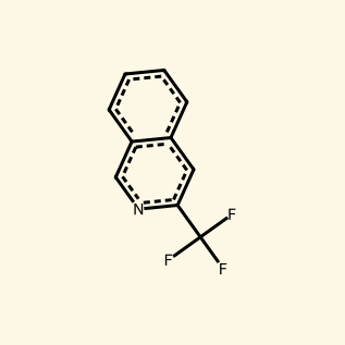 FC(F)(F)c1cc2ccccc2cn1